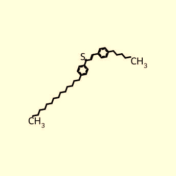 CCCCCCCCCCCCCCCc1ccc(C(=S)C=Cc2ccc(CCCCCC)cc2)cc1